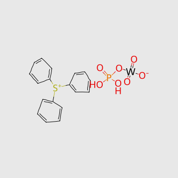 O=P(O)(O)[O][W](=[O])(=[O])[O-].c1ccc([S+](c2ccccc2)c2ccccc2)cc1